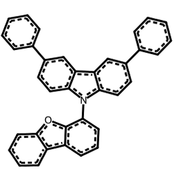 c1ccc(-c2ccc3c(c2)c2cc(-c4ccccc4)ccc2n3-c2cccc3c2oc2ccccc23)cc1